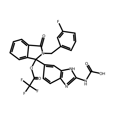 O=C(O)Nc1nc2ccc(C3(OC(=O)C(F)(F)F)c4ccccc4C(=O)N3Cc3cccc(F)c3)cc2[nH]1